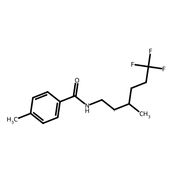 Cc1ccc(C(=O)NC[CH]C(C)CCC(F)(F)F)cc1